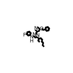 C\C=C(/C=C\C=C\CC)c1cc(Nc2cccc(F)c2)nc(C2CC(OCc3ccccc3)CN(C)C2)n1